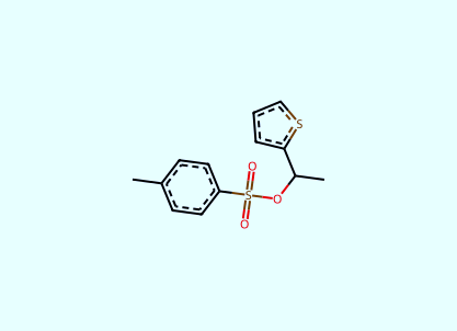 Cc1ccc(S(=O)(=O)OC(C)c2cccs2)cc1